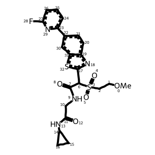 COCCS(=O)(=O)C(C(=O)NCC(=O)NC1CC1)c1nc2ccc(-c3cccc(F)n3)cc2s1